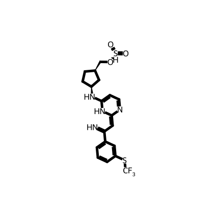 N=C(/C=C1/N=CC=C(N[C@H]2CC[C@@H](CO[SH](=O)=O)C2)N1)c1cccc(SC(F)(F)F)c1